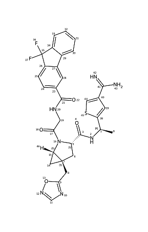 C[C@@H](NC(=O)[C@@H]1C[C@]2(Cc3ncno3)C[C@@H]2N1C(=O)CNC(=O)c1ccc2c(c1)-c1ccccc1C2(F)F)c1cc(C(=N)N)cs1